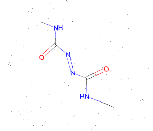 CNC(=O)N=NC(=O)NC